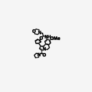 COc1cc2c(cc1NC(=O)CN1CCOCC1)-c1c(-c3cccs3)cc(C(=O)N3CCCC3)n1CC2